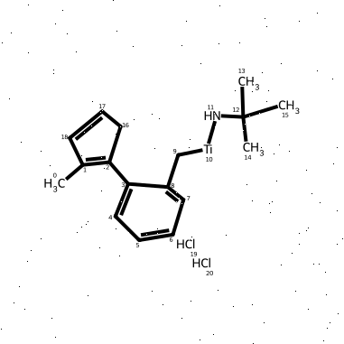 CC1=C(c2ccccc2[CH2][Ti][NH]C(C)(C)C)CC=C1.Cl.Cl